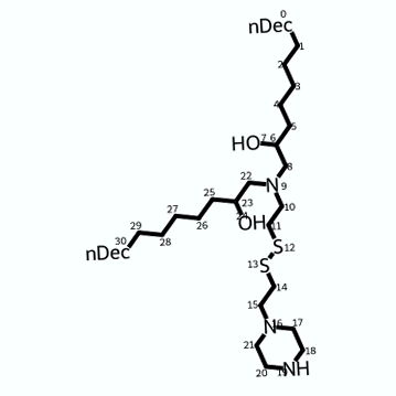 CCCCCCCCCCCCCCCC(O)CN(CCSSCCN1CCNCC1)CC(O)CCCCCCCCCCCCCCC